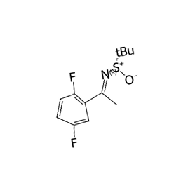 CC(=N[S@@+]([O-])C(C)(C)C)c1cc(F)ccc1F